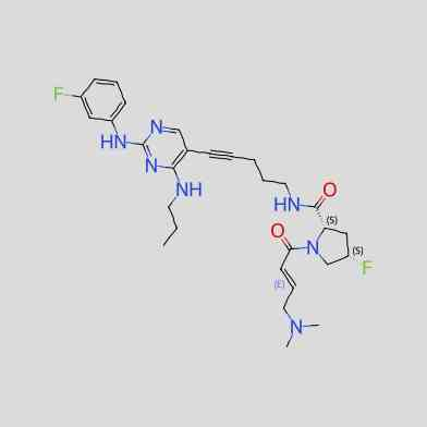 CCCNc1nc(Nc2cccc(F)c2)ncc1C#CCCCNC(=O)[C@@H]1C[C@H](F)CN1C(=O)/C=C/CN(C)C